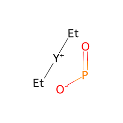 C[CH2][Y+][CH2]C.O=P[O-]